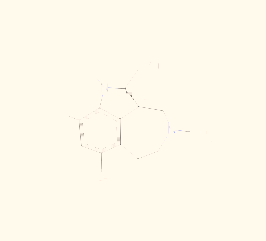 Cc1cc(Br)c2c3c1N(C)C(C(C)(C)C)[C@H]3CN(C(=O)O)CC2